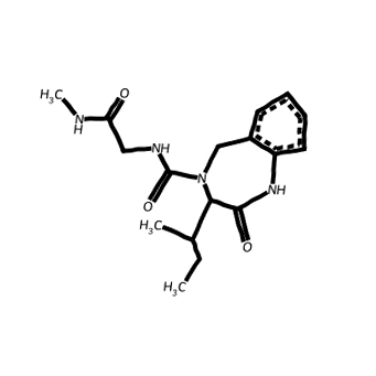 CCC(C)C1C(=O)Nc2ccccc2CN1C(=O)NCC(=O)NC